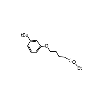 CCOCCCCCOc1cccc(C(C)(C)C)c1